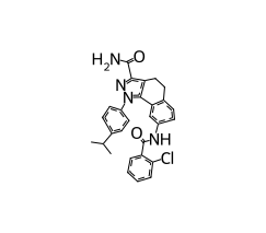 CC(C)c1ccc(-n2nc(C(N)=O)c3c2-c2cc(NC(=O)c4ccccc4Cl)ccc2CC3)cc1